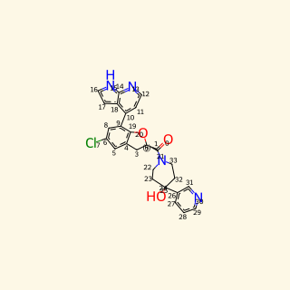 O=C([C@H]1Cc2cc(Cl)cc(-c3ccnc4[nH]ccc34)c2O1)N1CCC(O)(c2cccnc2)CC1